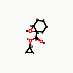 O=C(OC1CC1)C12CCCCC1O2